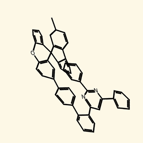 CC1C=CC2=C(C1)C1(c3ccccc3Oc3ccc(-c4ccc(-c5ccccc5-c5cc(-c6ccccc6)nc(-c6ccccc6)n5)cc4)cc31)c1ccccc12